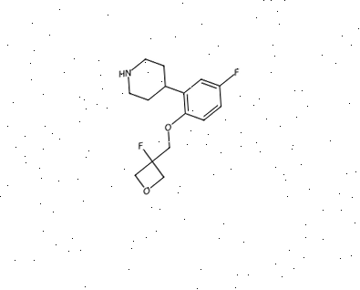 Fc1ccc(OCC2(F)COC2)c(C2CCNCC2)c1